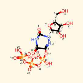 O=c1[nH]c(=O)n([C@@H]2O[C@H](CO)[C@@H](O)[C@H]2O)nc1OP(=O)(O)OP(=O)(O)OP(=O)(O)O